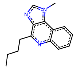 CCCCc1nc2ccccc2c2c1ncn2C